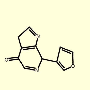 O=C1C=NC(c2ccoc2)C2=C1CC=N2